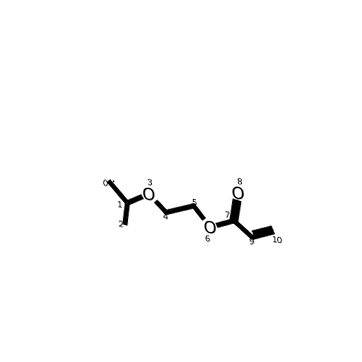 [CH2]C(C)OCCOC(=O)C=C